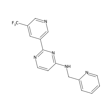 FC(F)(F)c1cncc(-c2nccc(NCc3ccccn3)n2)c1